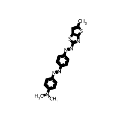 CC1=CC2SC(N=Nc3ccc(N=Nc4ccc(N(C)C)cc4)cc3)=NC2S1